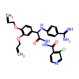 C=CCOc1ccc(C(Nc2ccc(C(=N)N)cc2)C(=O)NNC(=O)c2ccncc2Cl)cc1OCC=C